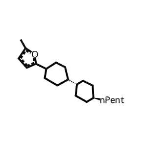 CCCCC[C@H]1CC[C@H](C2CCC(c3ccc(C)o3)CC2)CC1